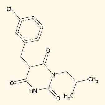 CC(C)CN1C(=O)NC(=O)C(Cc2cccc(Cl)c2)C1=O